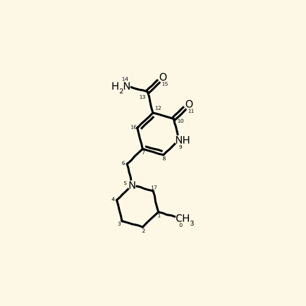 CC1CCCN(Cc2c[nH]c(=O)c(C(N)=O)c2)C1